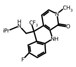 CC(C)NCC1(C(F)(F)F)c2cc(F)ccc2Nc2c1ccn(C)c2=O